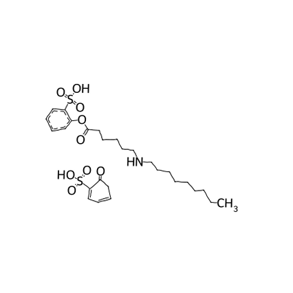 CCCCCCCCCNCCCCCC(=O)Oc1ccccc1S(=O)(=O)O.O=C1CC=CC=C1S(=O)(=O)O